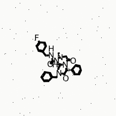 CN1CC(=O)N2[C@@H](c3ccccc3)C(=O)N(Cc3ccccc3)C[C@@H]2N1C(=O)NCc1ccc(F)cc1